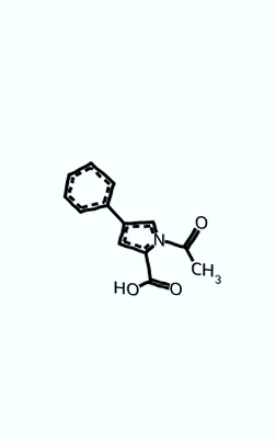 CC(=O)n1cc(-c2ccccc2)cc1C(=O)O